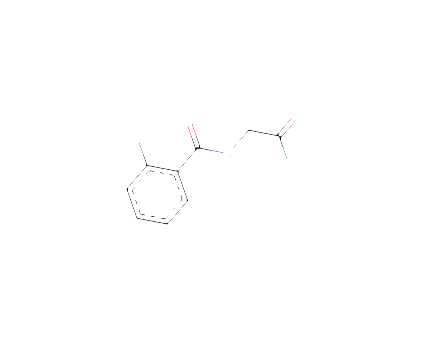 O=C(Cl)CNC(=O)c1ccccc1Cl